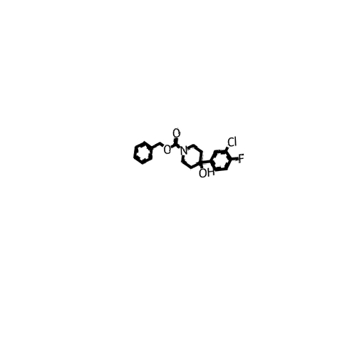 O=C(OCc1ccccc1)N1CCC(O)(c2ccc(F)c(Cl)c2)CC1